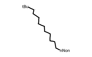 CCCCCCCCCCCCCCCCCC[CH]C(C)(C)C